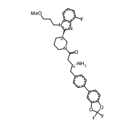 COCCCn1c([C@@H]2CCCN(C(=O)C[C@H](N)Cc3ccc(-c4ccc5c(c4)OC(F)(F)O5)cc3)C2)nc2c(F)cccc21